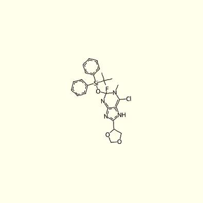 CN1C(Cl)=c2[nH]c(C3COCO3)nc2=NC1(F)O[Si](c1ccccc1)(c1ccccc1)C(C)(C)C